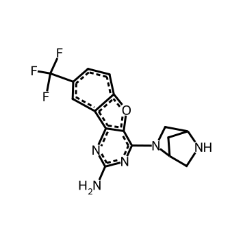 Nc1nc(N2CC3CC2CN3)c2oc3ccc(C(F)(F)F)cc3c2n1